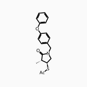 CC(=O)S[C@@H]1CN(Cc2ccc(Oc3ccccc3)cc2)C(=O)[C@H]1C